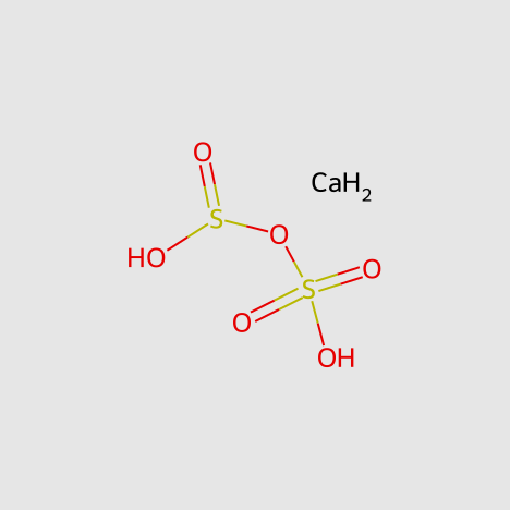 O=S(O)OS(=O)(=O)O.[CaH2]